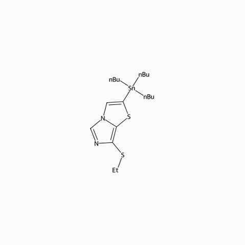 CCC[CH2][Sn]([CH2]CCC)([CH2]CCC)[c]1cn2cnc(SCC)c2s1